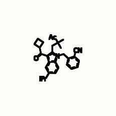 CC(=O)C(C)(C)Cc1c(C(=O)C2CCC2)c2cc(C(C)C)ccc2n1Cc1ccccc1C#N